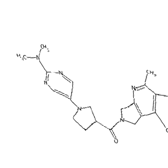 Cc1nc2c(c(C)c1Cl)CN(C(=O)C1CCN(c3cnc(N(C)C)nc3)C1)C2